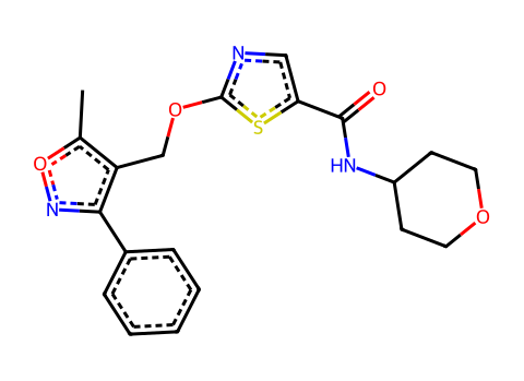 Cc1onc(-c2ccccc2)c1COc1ncc(C(=O)NC2CCOCC2)s1